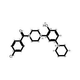 O=C(c1ccc(Cl)cc1)N1CCN(c2cc(N3CCCCC3)ccc2O)CC1